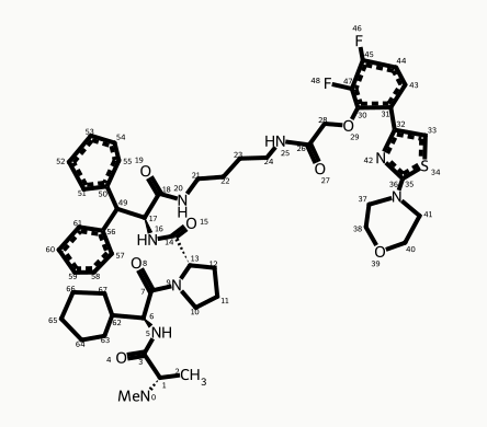 CN[C@@H](C)C(=O)N[C@H](C(=O)N1CCC[C@H]1C(=O)N[C@H](C(=O)NCCCCNC(=O)COc1c(-c2csc(N3CCOCC3)n2)ccc(F)c1F)C(c1ccccc1)c1ccccc1)C1CCCCC1